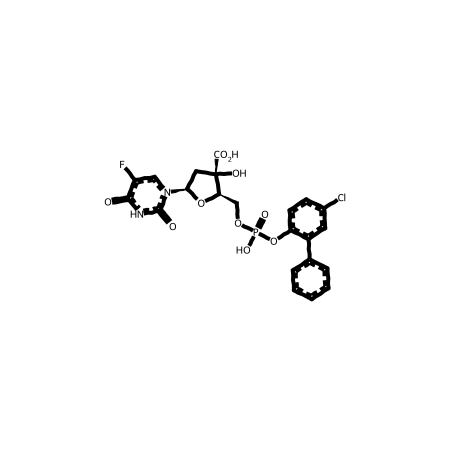 O=C(O)[C@]1(O)C[C@H](n2cc(F)c(=O)[nH]c2=O)O[C@@H]1COP(=O)(O)Oc1ccc(Cl)cc1-c1ccccc1